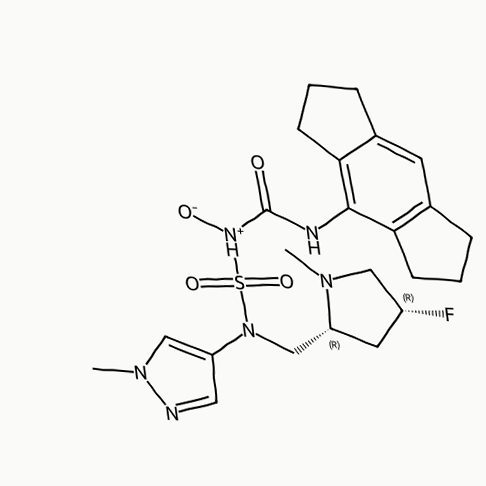 CN1C[C@H](F)C[C@@H]1CN(c1cnn(C)c1)S(=O)(=O)[NH+]([O-])C(=O)Nc1c2c(cc3c1CCC3)CCC2